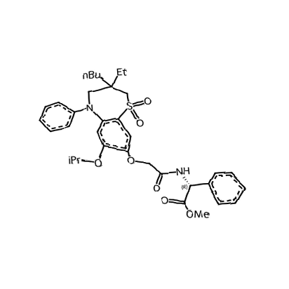 CCCCC1(CC)CN(c2ccccc2)c2cc(OC(C)C)c(OCC(=O)N[C@@H](C(=O)OC)c3ccccc3)cc2S(=O)(=O)C1